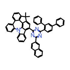 CC1(C)c2cccc3c2-c2c1cc(-c1nc(-c4ccc5ccccc5c4)nc(-c4ccc(-c5ccccc5)cc4-c4ccccc4)n1)c1c4ccccc4n(c21)-c1ccccc1-3